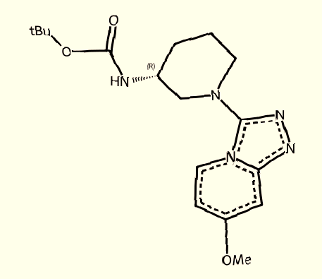 COc1ccn2c(N3CCC[C@@H](NC(=O)OC(C)(C)C)C3)nnc2c1